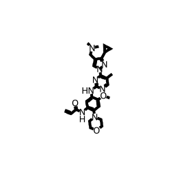 C=CC(=O)Nc1cc(Nc2ncc(C)c(-n3cc(CN(C)C)c(C4CC4)n3)n2)c(OC)cc1N1CCOCC1